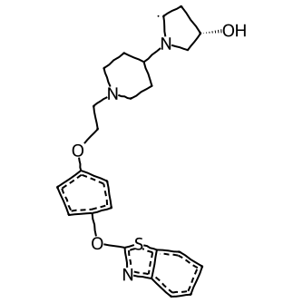 O[C@H]1C[CH]N(C2CCN(CCOc3ccc(Oc4nc5ccccc5s4)cc3)CC2)C1